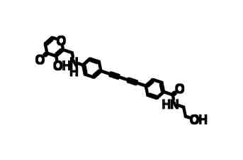 O=C(NCCO)c1ccc(C#CC#Cc2ccc(NCc3occc(=O)c3O)cc2)cc1